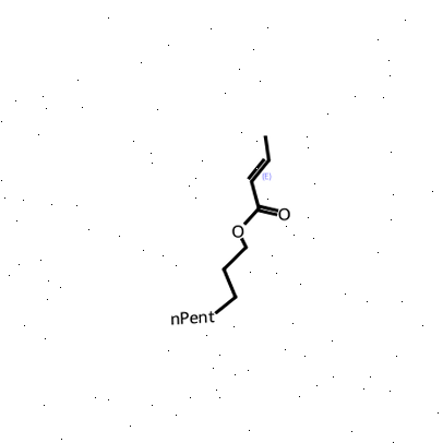 C/C=C/C(=O)OCCCCCCCC